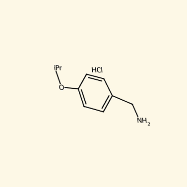 CC(C)Oc1ccc(CN)cc1.Cl